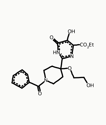 CCOC(=O)c1nc(C2(OCCO)CCN(C(=O)c3ccccc3)CC2)[nH]c(=O)c1O